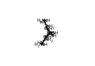 N=C(N)NCCCC[C@@H](N)C(=O)NCCOc1cc(CS)c(CS)cc1OCCNC(=O)[C@H](N)CCCCNC(=N)N